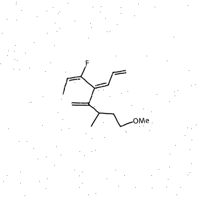 C=C/C=C(C(=C)C(C)CCOC)\C(F)=C/C